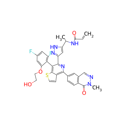 C=CC(=O)NC(C)c1cc(-c2nc(-c3ccc4c(=O)n(C)ncc4c3)c3ccsc3c2-c2c(F)cc(F)cc2OCCO)n[nH]1